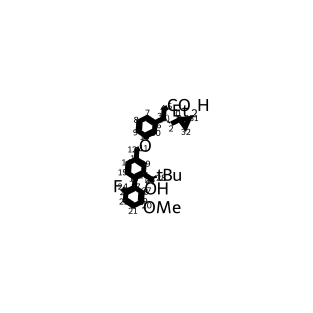 CCC1(C[C@@H](CC(=O)O)c2cccc(OCc3ccc(-c4cc(OC)ccc4F)c([C@H](O)C(C)(C)C)c3)c2)CC1